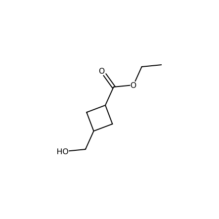 CCOC(=O)C1CC(CO)C1